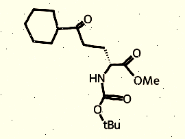 COC(=O)[C@@H](CCC(=O)C1CCCCC1)NC(=O)OC(C)(C)C